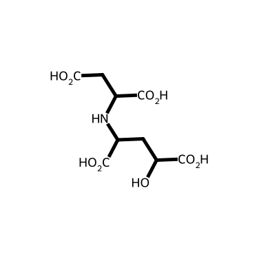 O=C(O)CC(NC(CC(O)C(=O)O)C(=O)O)C(=O)O